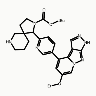 CCOc1cc(-c2ccc(C3N(C(=O)OC(C)(C)C)CCC34CCCNC4)nc2)c2c3cn[nH]c3nn2c1